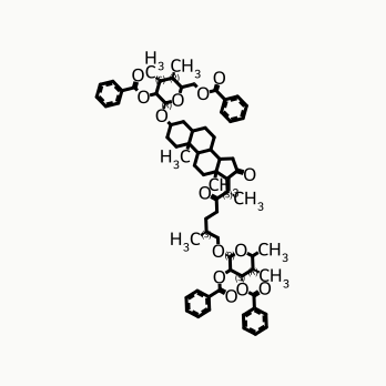 CC1O[C@@H](OC[C@@H](C)CCC(=O)[C@@H](C)C2C(=O)CC3C4CCC5CC(O[C@@H]6OC(COC(=O)c7ccccc7)[C@H](C)[C@H](C)C6OC(=O)c6ccccc6)CCC5(C)C4CCC32C)C(OC(=O)c2ccccc2)[C@@H](OC(=O)c2ccccc2)[C@@H]1C